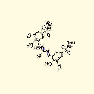 CCCCNS(=O)(=O)c1cc(Cl)c(O)c(/N=N/C(C#N)=N/Nc2cc(S(=O)(=O)NCCCC)cc(Cl)c2O)c1